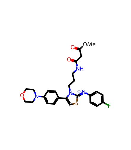 COC(=O)CC(=O)NCCCn1c(-c2ccc(N3CCOCC3)cc2)cs/c1=N\c1ccc(F)cc1